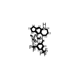 Cn1nnc(N(Cc2cc(C(F)(F)F)cc(C(F)(F)F)c2)[C@H]2CCCNc3cc4c(cc32)CCC4)n1